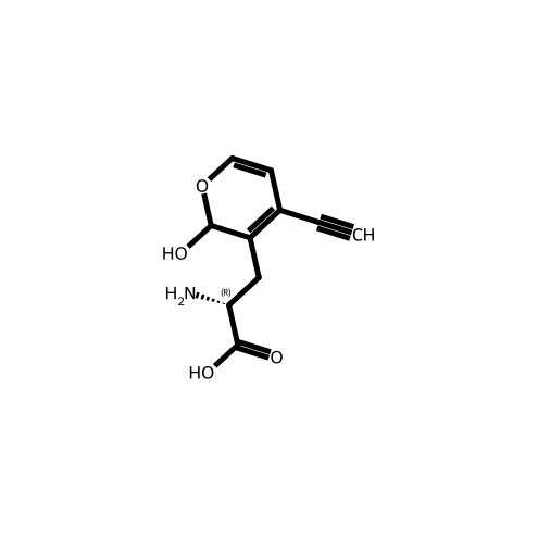 C#CC1=C(C[C@@H](N)C(=O)O)C(O)OC=C1